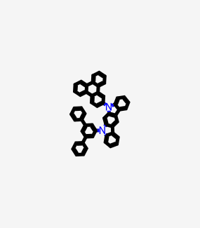 c1ccc(-c2cc(-c3ccccc3)cc(-n3c4ccccc4c4cc5c6ccccc6n(-c6ccc7c8ccccc8c8ccccc8c7c6)c5cc43)c2)cc1